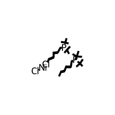 CC=CC=CCP(C(C)(C)C)C(C)(C)C.CC=CC=CCP(C(C)(C)C)C(C)(C)C.[Cl][Ni][Cl]